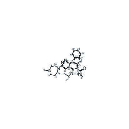 CNC(=O)c1c(NC(C)C)c2cc(N3CCCN(C)CC3)nnc2n2c1nc1ccccc12